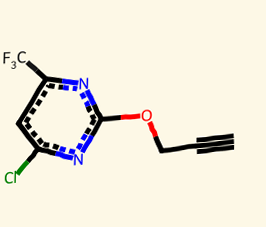 C#CCOc1nc(Cl)cc(C(F)(F)F)n1